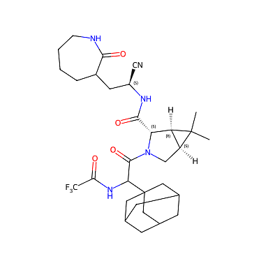 CC1(C)[C@@H]2[C@@H](C(=O)N[C@H](C#N)CC3CCCCNC3=O)N(C(=O)C(NC(=O)C(F)(F)F)C34CC5CC(CC(C5)C3)C4)C[C@@H]21